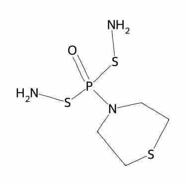 NSP(=O)(SN)N1CCSCC1